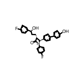 O=C1[C@H](CC[C@H](O)c2ccc(F)cc2)[C@@H](c2ccc(-c3ccc(O)cc3)cc2)N1c1ccc(F)cc1